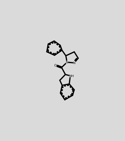 O=C(C1Cc2ccccc2N1)N1N=CCC1c1ccccc1